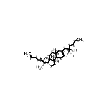 C=CCCC[C@@H](C)[C@H]1CC[C@H]2[C@@H]3CC=C(CC(C)(O)CCCC)C[C@H]3CC[C@]12C